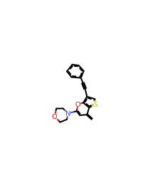 C=C1C=C(N2CCOCC2)Oc2c(C#Cc3ccccc3)csc21